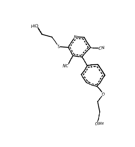 COCCOc1ccc(-c2c(C#N)cnc(SCCO)c2C#N)cc1